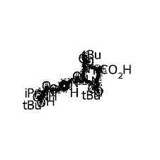 CC(C)C[C@@H](NC(=O)OC(C)(C)C)C(=O)NOCc1ccc(CNC(=O)CN2CCN(CC(=O)OC(C)(C)C)CCN(CC(=O)O)CCN(CC(=O)OC(C)(C)C)CC2)cc1